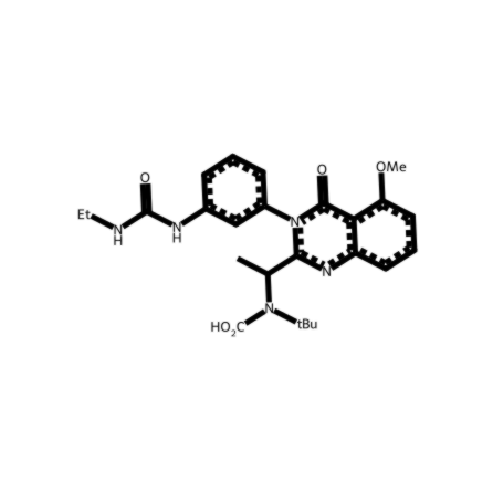 CCNC(=O)Nc1cccc(-n2c(C(C)N(C(=O)O)C(C)(C)C)nc3cccc(OC)c3c2=O)c1